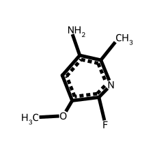 COc1cc(N)c(C)nc1F